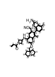 C=CC(=O)N1CC(Nc2nc(OCC34CCCN3CCC4)nc3c(F)c(-c4ccc(F)c5sc(N)nc45)c(CC#N)cc23)C1